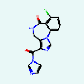 O=C1NCc2c(C(=O)n3ccnc3)ncn2-c2cccc(Cl)c21